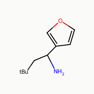 CC(C)(C)CC(N)c1ccoc1